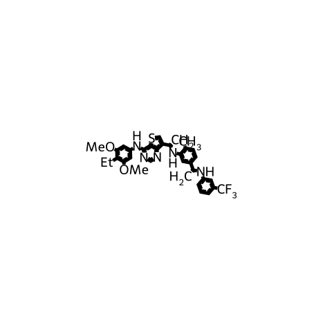 C=C(Nc1cccc(C(F)(F)F)c1)c1ccc(C)c(NC(=C)c2csc3c(Nc4cc(OC)c(CC)c(OC)c4)ncnc23)c1